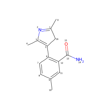 CC1=NC(C)=C(c2ccc(C)cc2C(N)=O)C1